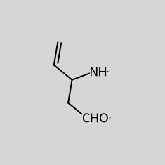 C=CC([NH])C[C]=O